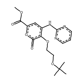 COC(=O)c1cc(Nc2ncccn2)c(OCCOC(C)(C)C)c(=O)o1